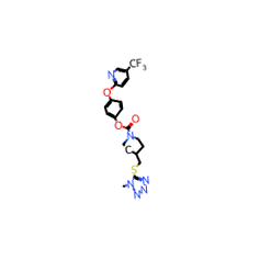 Cn1nnnc1SCC1CCN(C(=O)Oc2ccc(Oc3ccc(C(F)(F)F)cn3)cc2)CC1